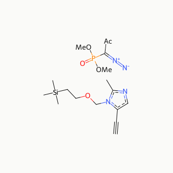 C#Cc1cnc(C)n1COCC[Si](C)(C)C.COP(=O)(OC)C(=[N+]=[N-])C(C)=O